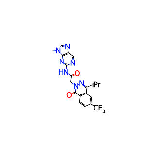 CC(C)c1nn(CC(=O)Nc2ncc3ncn(C)c3n2)c(=O)c2ccc(C(F)(F)F)cc12